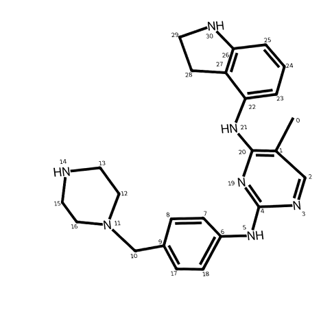 Cc1cnc(Nc2ccc(CN3CCNCC3)cc2)nc1Nc1cccc2c1CCN2